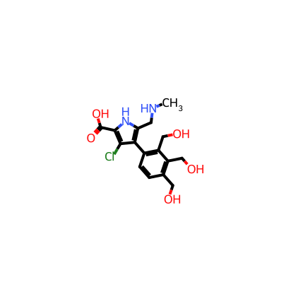 CNCc1[nH]c(C(=O)O)c(Cl)c1-c1ccc(CO)c(CO)c1CO